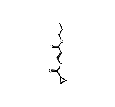 CCCOC(=O)C=COC(=O)C1CC1